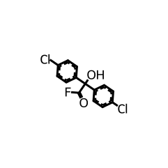 O=C(F)C(O)(c1ccc(Cl)cc1)c1ccc(Cl)cc1